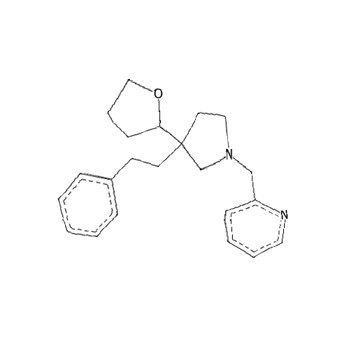 c1ccc(CCC2(C3CCCO3)CCN(Cc3ccccn3)C2)cc1